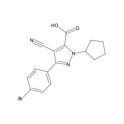 N#Cc1c(-c2ccc(Br)cc2)nn(C2CCCC2)c1C(=O)O